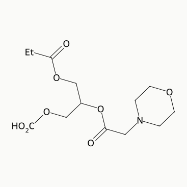 CCC(=O)OCC(COC(=O)O)OC(=O)CN1CCOCC1